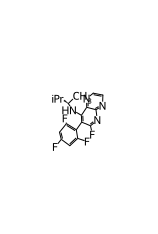 CC(C)[C@@H](C)Nc1c(-c2c(F)cc(F)cc2F)c(F)nc2nccnc12